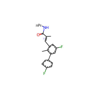 CCCNC(=O)/C(C)=C/c1cc(F)cc(-c2ccc(F)cc2)c1C